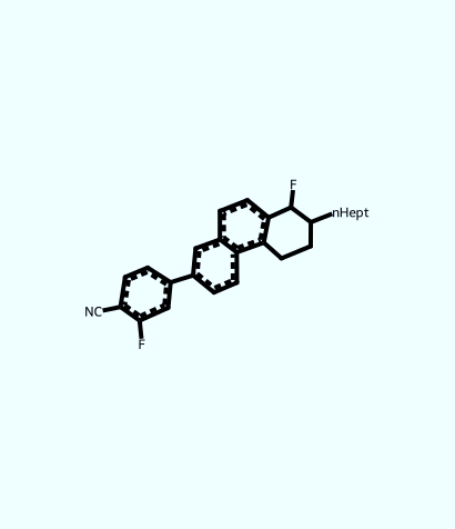 CCCCCCCC1CCc2c(ccc3cc(-c4ccc(C#N)c(F)c4)ccc23)C1F